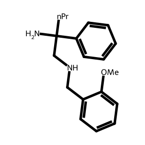 CCCC(N)(CNCc1ccccc1OC)c1ccccc1